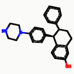 Oc1ccc2c(c1)CCC(c1ccccc1)[C@@H]2c1ccc(N2CCNCC2)cc1